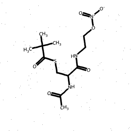 CC(=O)NC(CSC(=O)C(C)(C)C)C(=O)NCCO[N+](=O)[O-]